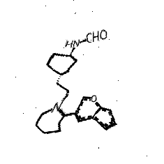 O=CN[C@H]1CC[C@H](CCN2CCCCC2c2coc3cccc-3c2)CC1